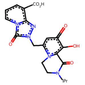 CC(C)N1CCn2c(Cn3nc4c(C(=O)O)cccn4c3=O)cc(=O)c(O)c2C1=O